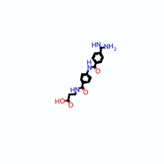 N=C(N)c1ccc(C(=O)Nc2ccc(C(=O)NCCC(=O)O)cc2)cc1